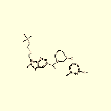 Cc1cc(OC2CCCN(C(C)c3cnc4c(c3)nc(C)n4COCCS(C)(C)C)C2)cc(C(F)(F)F)n1